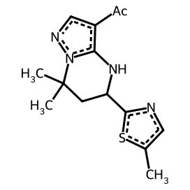 CC(=O)c1cnn2c1NC(c1ncc(C)s1)CC2(C)C